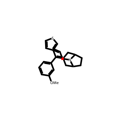 C=CCN1C2CCC1CC(=C(c1ccsc1)c1cccc(OC)c1)C2